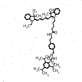 CCN1/C(=C/C=C/C=C/C2=[N+](CCCCC(=O)NCCc3ccc(/C=N/NS(=O)(=O)c4c(C(C)C)cc(C(C)C)cc4C(C)C)cc3)c3ccccc3C2(C)C)C(C)(C)c2ccccc21